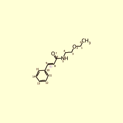 CCOCCNC(=O)/C=C/c1ccccc1